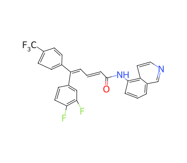 O=C(C=CC=C(c1ccc(C(F)(F)F)cc1)c1ccc(F)c(F)c1)Nc1cccc2cnccc12